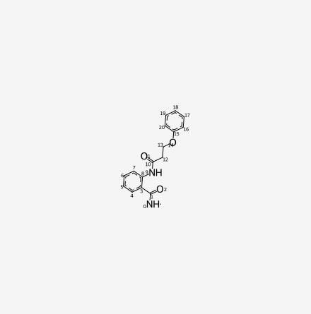 [NH]C(=O)c1ccccc1NC(=O)CCOc1ccccc1